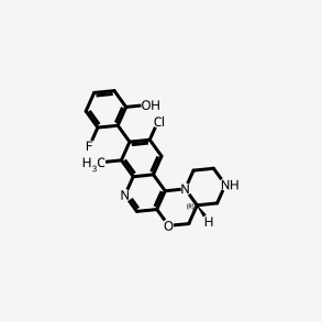 Cc1c(-c2c(O)cccc2F)c(Cl)cc2c3c(cnc12)OC[C@H]1CNCCN31